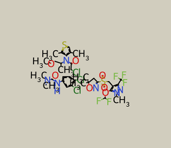 CN(C)C(=O)Nc1ccc(Cl)c(Cl)c1.COCC(C)N(C(=O)CCl)c1c(C)csc1C.Cn1nc(C(F)(F)F)c(CS(=O)(=O)C2=NOC(C)(C)C2)c1OC(F)F